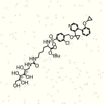 CC(C)(C)OC(=O)C(CCCCNC(=O)NC[C@H](O)[C@@H](O)[C@H](O)[C@H](O)CO)NS(=O)(=O)c1ccc(COC2(c3cnccc3-c3ccccc3OC3CC3)CC2)c(Cl)c1